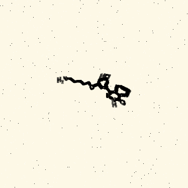 Cl.NCCCCCOc1cccc(-c2n[nH]c(=O)c3ccccc23)c1